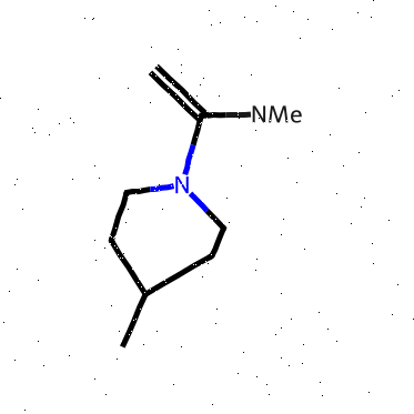 C=C(NC)N1CCC(C)CC1